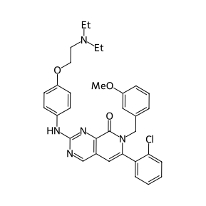 CCN(CC)CCOc1ccc(Nc2ncc3cc(-c4ccccc4Cl)n(Cc4cccc(OC)c4)c(=O)c3n2)cc1